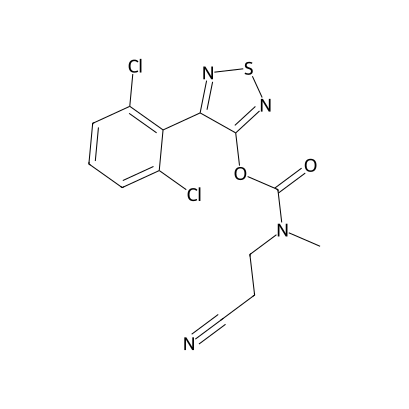 CN(CCC#N)C(=O)Oc1nsnc1-c1c(Cl)cccc1Cl